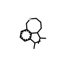 CC(C)c1cccc2c1C(C(C)C)CCCSC2